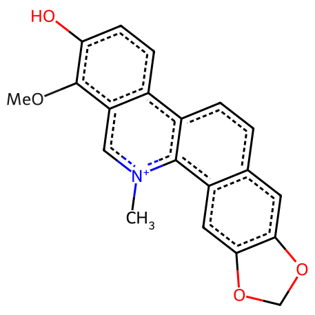 COc1c(O)ccc2c1c[n+](C)c1c3cc4c(cc3ccc21)OCO4